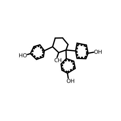 CC1C(c2ccc(O)cc2)CCCC1(c1ccc(O)cc1)c1ccc(O)cc1